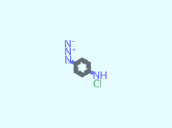 [N-]=[N+]=Nc1ccc(NCl)cc1